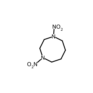 O=[N+]([O-])N1CCCCN([N+](=O)[O-])CC1